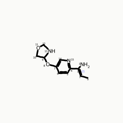 C/C=C(\N)c1ccc(OC2COCN2)cn1